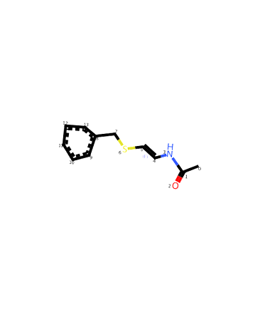 CC(=O)N/C=C/SCc1ccccc1